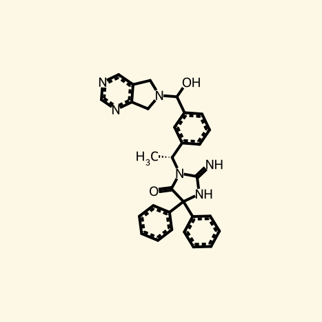 C[C@H](c1cccc(C(O)N2Cc3cncnc3C2)c1)N1C(=N)NC(c2ccccc2)(c2ccccc2)C1=O